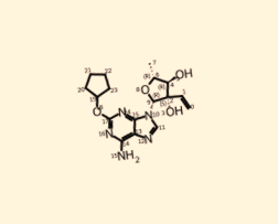 C=C[C@]1(O)[C@H](O)[C@@H](C)O[C@H]1n1cnc2c(N)nc(OC3CCCC3)nc21